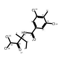 CCC(C)(NC(=O)c1cc(Cl)c(C)c(Cl)c1)C(=O)C(Cl)Cl